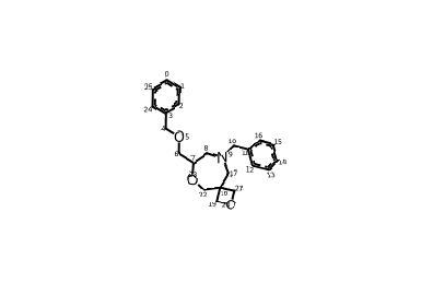 c1ccc(COCC2CN(Cc3ccccc3)CC3(COC3)CO2)cc1